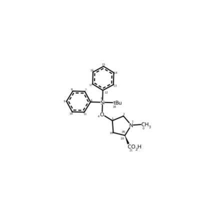 CN1CC(O[Si](c2ccccc2)(c2ccccc2)C(C)(C)C)C[C@@H]1C(=O)O